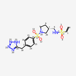 C=CS(=O)(=O)NC[C@H]1CCN(S(=O)(=O)c2ccc(Cc3nnn[nH]3)cc2)C1